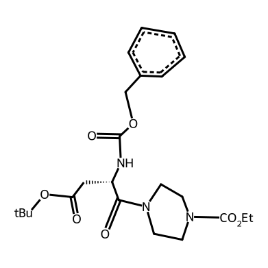 CCOC(=O)N1CCN(C(=O)[C@H](CC(=O)OC(C)(C)C)NC(=O)OCc2ccccc2)CC1